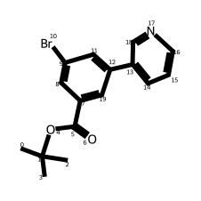 CC(C)(C)OC(=O)c1cc(Br)cc(-c2cccnc2)c1